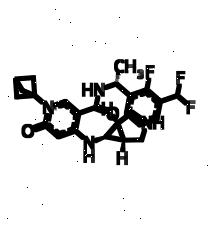 C[C@@H](NC(=O)c1cn(C23CC(C2)C3)c(=O)cc1N[C@H]1[C@@H]2CNC[C@@H]21)c1cccc(C(F)F)c1F